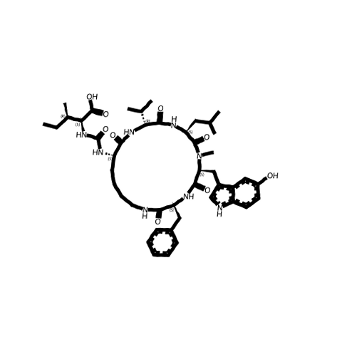 CC[C@@H](C)[C@H](NC(=O)N[C@H]1CCCCNC(=O)[C@H](Cc2ccccc2)NC(=O)[C@H](Cc2c[nH]c3ccc(O)cc23)N(C)C(=O)[C@H](CC(C)C)NC(=O)[C@@H](C(C)C)NC1=O)C(=O)O